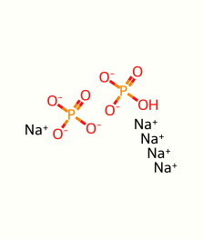 O=P([O-])([O-])O.O=P([O-])([O-])[O-].[Na+].[Na+].[Na+].[Na+].[Na+]